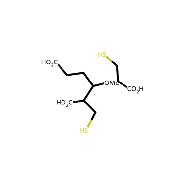 COC(CCC(=O)O)C(CS)C(=O)O.O=C(O)CCS